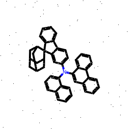 c1ccc2c(c1)-c1ccc(N(c3cccc4ccccc34)c3cc4ccccc4c4ccccc34)cc1C21C2CC3CC(C2)CC1C3